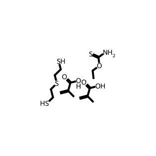 C=C(C)C(=O)O.C=C(C)C(=O)O.CCOC(N)=S.SCCSCCS